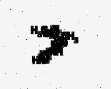 COc1cncc(-c2c(C)nc3sc(NCC4CCNCC4)nn23)c1